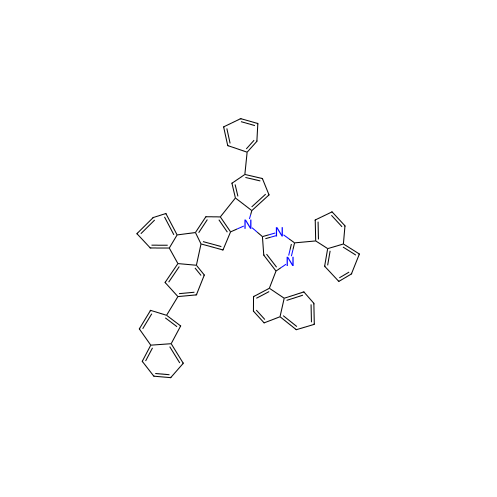 c1ccc(-c2ccc3c(c2)c2cc4c5ccccc5c5cc(-c6ccc7ccccc7c6)ccc5c4cc2n3-c2cc(-c3cccc4ccccc34)nc(-c3cccc4ccccc34)n2)cc1